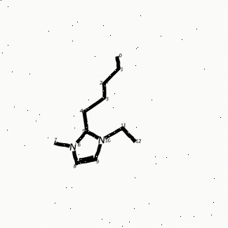 CCCCCC1N(C)C=CN1CC